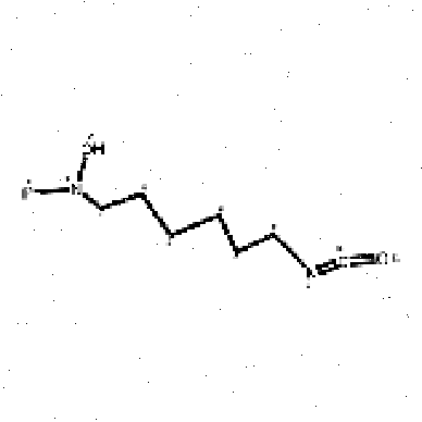 CC(C)N(O)CCCCCCN=C=O